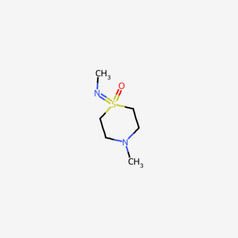 CN=S1(=O)CCN(C)CC1